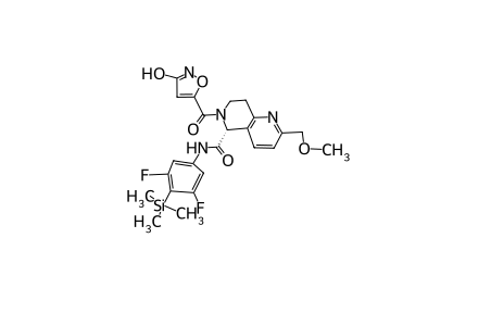 COCc1ccc2c(n1)CCN(C(=O)c1cc(O)no1)[C@H]2C(=O)Nc1cc(F)c([Si](C)(C)C)c(F)c1